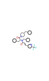 O=C([C@H](Cc1ccccc1)N(Cc1ccccc1)C(=O)/C=C/c1ccc(C(F)(F)F)nc1)N1CCC(Cc2ccccc2)CC1